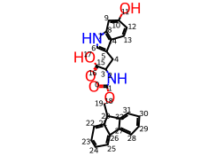 O=C(NC(Cc1c[nH]c2cc(O)ccc12)C(=O)O)OCC1c2ccccc2-c2ccccc21